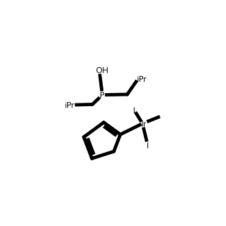 CC(C)CP(O)CC(C)C.[CH3][Ir]([I])([I])[C]1=CC=CC1